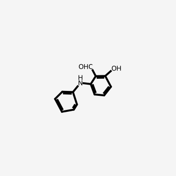 O=Cc1c(O)cccc1Nc1ccccc1